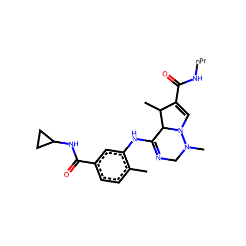 CCCNC(=O)C1=CN2C(C(Nc3cc(C(=O)NC4CC4)ccc3C)=NCN2C)C1C